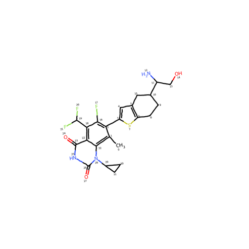 Cc1c(-c2cc3c(s2)CCC(C(N)CO)C3)c(F)c(C(F)F)c2c(=O)[nH]c(=O)n(C3CC3)c12